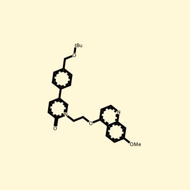 COc1ccc2c(OCCn3cc(-c4ccc(COC(C)(C)C)cc4)ccc3=O)ccnc2c1